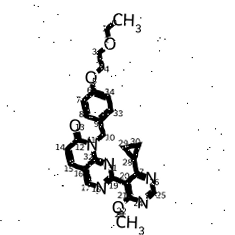 CCOCCOc1ccc(Cn2c(=O)ccc3cnc(-c4c(OC)ncnc4C4CC4)nc32)cc1